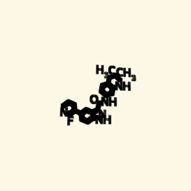 CC1(C)CNc2cc(NC(=O)c3n[nH]c4ccc(-c5cccnc5F)cc34)ccc2C1